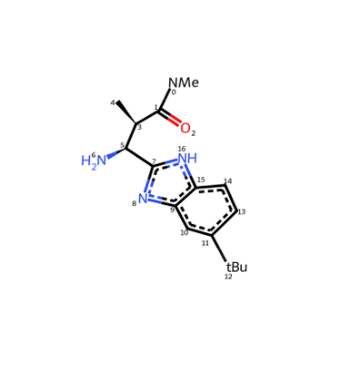 CNC(=O)[C@H](C)[C@H](N)c1nc2cc(C(C)(C)C)ccc2[nH]1